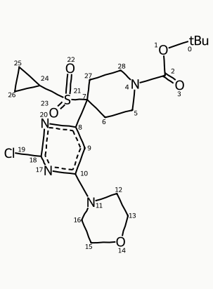 CC(C)(C)OC(=O)N1CCC(c2cc(N3CCOCC3)nc(Cl)n2)(S(=O)(=O)C2CC2)CC1